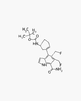 CC(C)(C)OC(=O)NC1CCC=C(c2c(CF)c(CF)c(C(N)=O)c3[nH]ccc23)C1